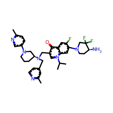 Cc1ccc(N2CCC[C@H](N(Cc3ccnc(C)c3)Cc3cn(C(C)C)c4cc(N5CC[C@H](N)C(F)(F)C5)c(F)cc4c3=O)C2)cn1